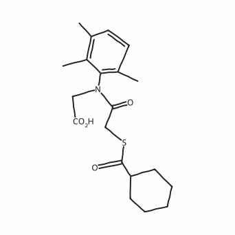 Cc1ccc(C)c(N(CC(=O)O)C(=O)CSC(=O)C2CCCCC2)c1C